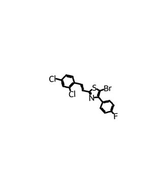 Fc1ccc(-c2nc(C=Cc3ccc(Cl)cc3Cl)sc2Br)cc1